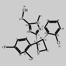 Cn1nc([C@@]2(c3ccc(F)cc3F)OC[C@H]2c2ccccc2Cl)nc1SC#N